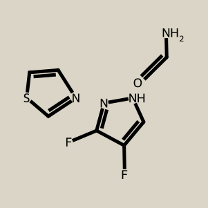 Fc1c[nH]nc1F.NC=O.c1cscn1